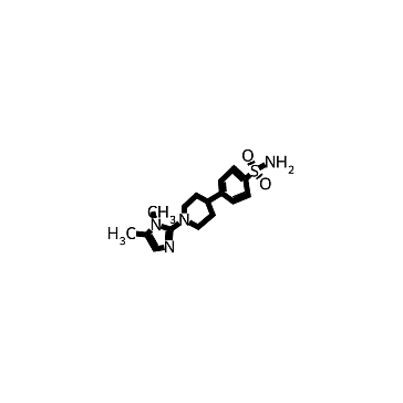 Cc1cnc(N2CCC(c3ccc(S(N)(=O)=O)cc3)CC2)n1C